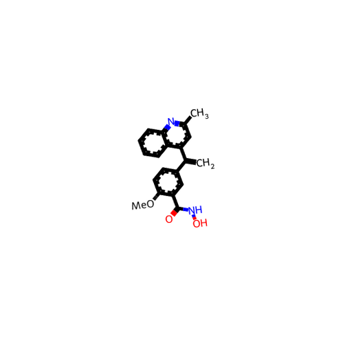 C=C(c1ccc(OC)c(C(=O)NO)c1)c1cc(C)nc2ccccc12